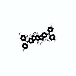 CC1(C)c2cc(N(c3ccc(F)cc3)c3ccc(F)cc3)ccc2-c2cc3c(cc21)-c1ccc(N(c2ccc(F)cc2)c2ccc(F)cc2)cc1C3(C)C